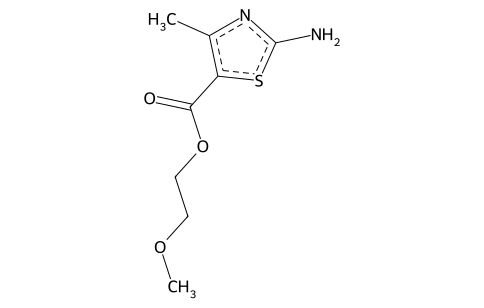 COCCOC(=O)c1sc(N)nc1C